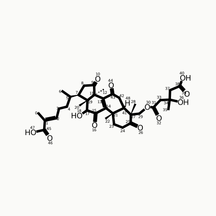 C/C(=C\CCC(C)[C@H]1CC(=O)[C@@]2(C)C3=C(C(=O)C(O)[C@]12C)[C@@]1(C)CCC(=O)[C@@](C)(COC(=O)CC(C)(O)CC(=O)O)[C@@H]1CC3=O)C(=O)O